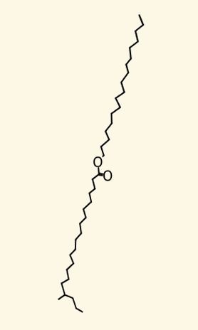 CCCCCCCCCCCCCCCCCCOC(=O)CCCCCCCCCCCCCCCC(C)CCC